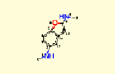 CNc1ccc2oc(NC)cc2c1